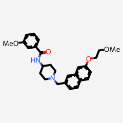 COCCOc1ccc2ccc(CN3CCC(NC(=O)c4cccc(OC)c4)CC3)cc2c1